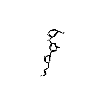 CC/C=C/Cn1cc(-c2cc(C)cc(Nc3cc(C(F)(F)F)ccn3)n2)nn1